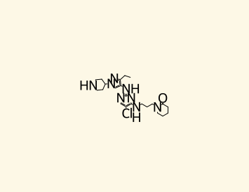 CCc1nn(C2CCNCC2)cc1Nc1ncc(Cl)c(NCCCN2CCCCC2=O)n1